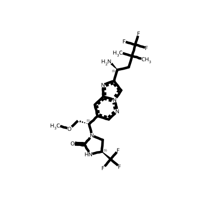 COC[C@H](c1cnn2cc([C@@H](N)CC(C)(C)C(F)(F)F)nc2c1)N1C[C@@H](C(F)(F)F)NC1=O